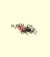 CC(/C=C\C(C)(C)CC(C)(C)C)=C/C(C)(C)OC(=O)OC(C)C